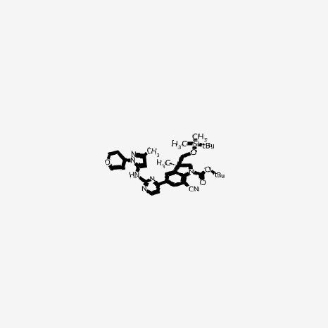 Cc1cc(Nc2nccc(-c3cc(C#N)c4c(c3)[C@@](C)(CO[Si](C)(C)C(C)(C)C)CN4C(=O)OC(C)(C)C)n2)n(C2CCOCC2)n1